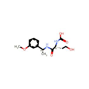 COc1cccc([C@@H](C)NC(=O)[C@@H](CCO)NC(=O)O)c1